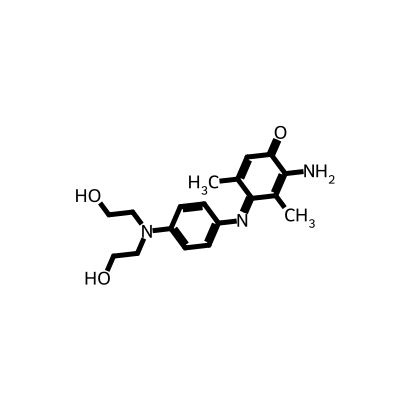 CC1=CC(=O)C(N)=C(C)C1=Nc1ccc(N(CCO)CCO)cc1